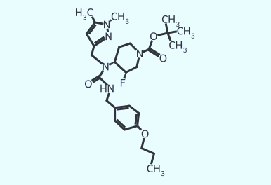 CCCOc1ccc(CNC(=O)N(Cc2cc(C)n(C)n2)[C@H]2CCN(C(=O)OC(C)(C)C)C[C@H]2F)cc1